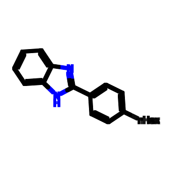 CCCCCCc1ccc(-c2nc3ccccc3[nH]2)cc1